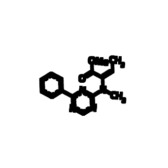 CC=C(C(=O)OC)N(C)c1ncnc(-c2ccccc2)n1